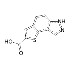 O=C(O)c1cc2ccc3[nH]ncc3c2s1